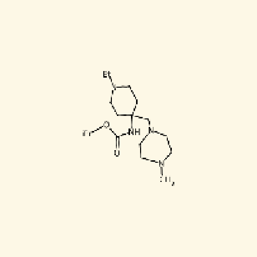 CCN1CCC(CN2CCN(C)CC2)(NC(=O)OC(C)C)CC1